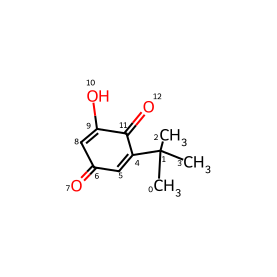 CC(C)(C)C1=CC(=O)C=C(O)C1=O